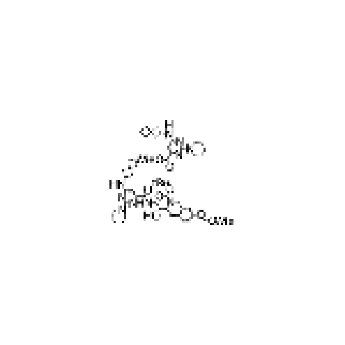 COC(=O)c1cc(NC2CC3(CCC3)C2)nc(N2CCCCC2)n1.COCOc1ccc2c(c1)CN(C(=O)OC(C)(C)C)[C@H]([C@H](O)CNC(=O)c1cc(NC3CC4(CCC4)C3)nc(N3CCCCC3)n1)C2